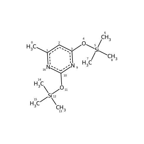 Cc1cc(O[Si](C)(C)C)nc(O[Si](C)(C)C)n1